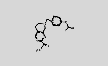 NC(=O)c1n[c]c2c(n1)CN(Cc1ccc(OC(F)F)cc1)CC2